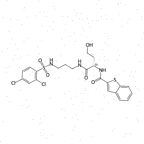 O=C(N[C@@H](CCO)C(=O)NCCCNS(=O)(=O)c1ccc(Cl)cc1Cl)c1cc2ccccc2s1